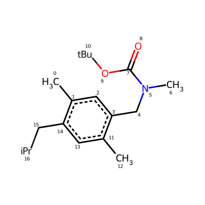 Cc1cc(CN(C)C(=O)OC(C)(C)C)c(C)cc1CC(C)C